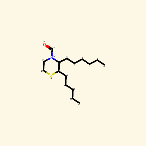 CCCCCCC1C(CCCCC)SCCN1C=O